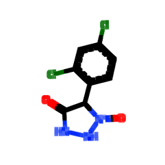 O=C1NN[N+](=O)C1c1ccc(Cl)cc1Cl